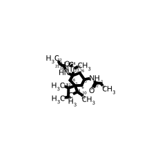 CCC(=O)NC1CC(C(C)CC)(C(C)CC)C[C](NC(=O)CC)([Ti]([CH3])[CH3])C1